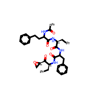 CCCC(=O)NC(CCc1ccccc1)C(=O)N[C@@H](CC(C)C)C(=O)NC(Cc1ccccc1)C(=O)N[C@@H](CC(C)C)C(=O)[C@H]1CO1